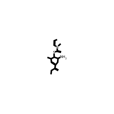 C=C(CC)C1=CC(C)C(SC(=C)N(C)/C=C\C)C(N)C1